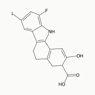 O=C(O)C1CC2=C(C=C1O)c1[nH]c3c(F)cc(I)cc3c1CC2